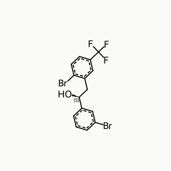 O[C@@H](Cc1cc(C(F)(F)F)ccc1Br)c1cccc(Br)c1